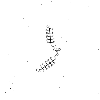 O=[PH](OCCC(F)(F)C(F)(F)C(F)(F)C(F)(F)C(F)(F)C(F)(F)F)OCCC(F)(F)C(F)(F)C(F)(F)C(F)(F)C(F)(F)C(F)(F)F